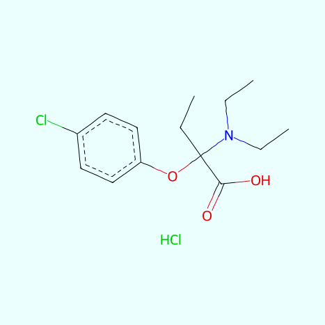 CCN(CC)C(CC)(Oc1ccc(Cl)cc1)C(=O)O.Cl